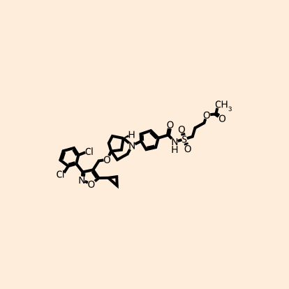 CC(=O)OCCCS(=O)(=O)NC(=O)c1ccc(N2CCC3(OCc4c(-c5c(Cl)cccc5Cl)noc4C4CC4)CC[C@H]2C3)cc1